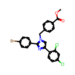 COC(=O)c1ccc(Cn2cc(-c3ccc(Cl)cc3Cl)nc2-c2ccc(Br)cc2)cc1